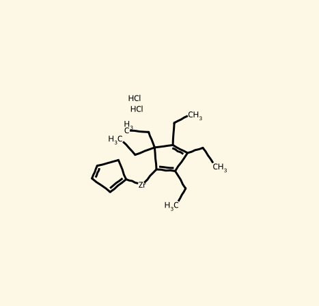 CCC1=C(CC)C(CC)(CC)[C]([Zr][C]2=CC=CC2)=C1CC.Cl.Cl